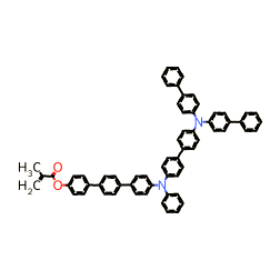 C=C(C)C(=O)Oc1ccc(-c2ccc(-c3ccc(N(c4ccccc4)c4ccc(-c5ccc(N(c6ccc(-c7ccccc7)cc6)c6ccc(-c7ccccc7)cc6)cc5)cc4)cc3)cc2)cc1